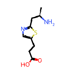 C[C@@H](N)Cc1ncc(CCC(=O)O)s1